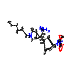 CCCCCCN1CC2C(C1)C2(CN)c1cccc([N+](=O)[O-])c1